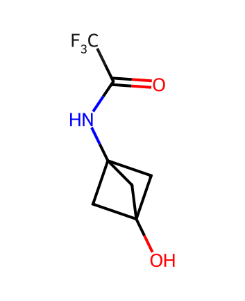 O=C(NC12CC(O)(C1)C2)C(F)(F)F